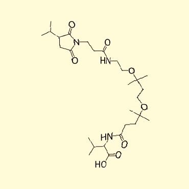 CC(C)C1CC(=O)N(CCC(=O)NCCOC(C)(C)CCOC(C)(C)CCC(=O)NC(C(=O)O)C(C)C)C1=O